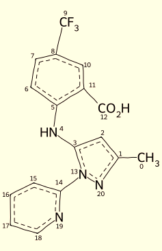 Cc1cc(Nc2ccc(C(F)(F)F)cc2C(=O)O)n(-c2ccccn2)n1